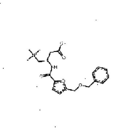 C[N+](C)(C)C[C@@H](CC(=O)O)NC(=O)c1ccc(COCc2ccccc2)o1